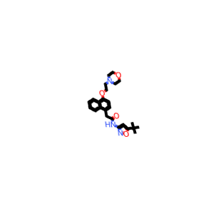 CC(C)(C)c1cc(NC(=O)Cc2ccc(OCCN3CCOCC3)c3ccccc23)no1